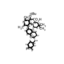 Cc1nc(C)c(C(OC(C)(C)C)C(=O)O)c(N2CCC(C)(C)CC2)c1-c1ccc2c(c1)CC[C@H](Cc1ccc(F)c(F)c1)O2